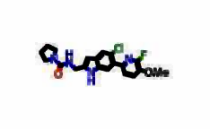 COc1ccc(-c2cc3[nH]c(CNC(=O)N4CCCC4)cc3cc2Cl)nc1F